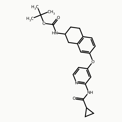 CC(C)(C)OC(=O)NC1CCc2ccc(Oc3ccnc(NC(=O)C4CC4)c3)cc2C1